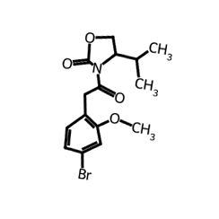 COc1cc(Br)ccc1CC(=O)N1C(=O)OCC1C(C)C